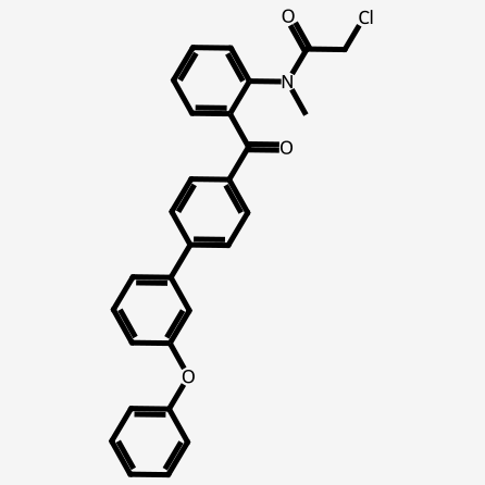 CN(C(=O)CCl)c1ccccc1C(=O)c1ccc(-c2cccc(Oc3ccccc3)c2)cc1